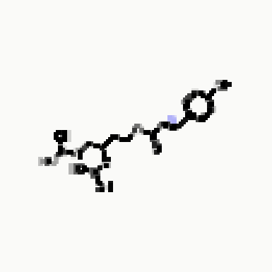 O=C(/C=C/c1ccc(O)cc1)OCCC(CON(O)O)ON(O)O